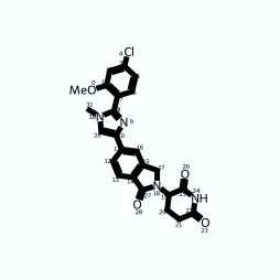 COc1cc(Cl)ccc1-c1nc(-c2ccc3c(c2)CN(C2CCC(=O)NC2=O)C3=O)cn1C